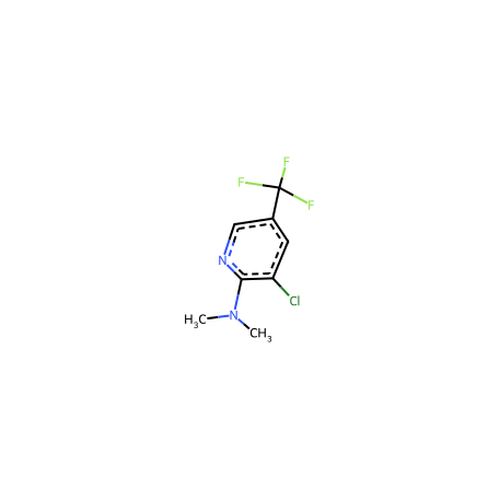 CN(C)c1ncc(C(F)(F)F)cc1Cl